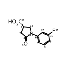 O=C(O)C1CC(=O)N(c2cccc(F)c2)C1